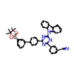 CC1(C)OB(c2cccc(-c3ccc(-c4nc(-c5cccc(C#N)c5)nc(-n5c6ccccc6c6ccccc65)n4)cc3)c2)OC1(C)C